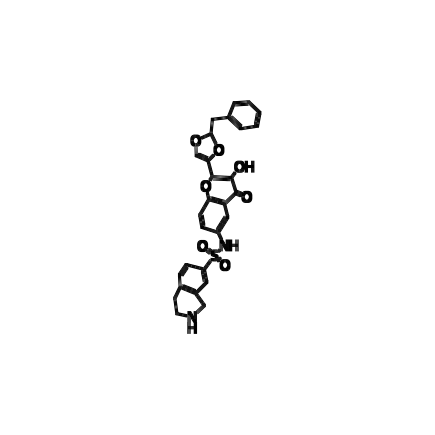 O=c1c(O)c(C2=COC(Cc3ccccc3)O2)oc2ccc(NS(=O)(=O)c3ccc4c(c3)CNCC4)cc12